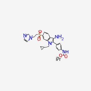 CC(C)OC(=O)Nc1ccc(-c2c(N)c3ccc(S(=O)(=O)CCn4ccnc4)cc3n2CC2CC2)cc1